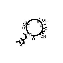 CC(=Cc1csc(C)n1)[C@@H]1C[C@@H]2O[C@]2(C)CCC[C@H](C)[C@H](O)[C@@H](C)C(=O)C(C)(C)[C@@H](O)CC(=O)O1